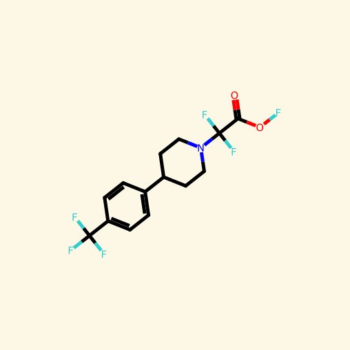 O=C(OF)C(F)(F)N1CCC(c2ccc(C(F)(F)F)cc2)CC1